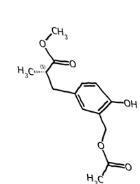 COC(=O)[C@@H](C)Cc1ccc(O)c(COC(C)=O)c1